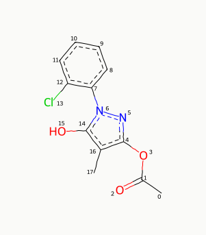 CC(=O)Oc1nn(-c2ccccc2Cl)c(O)c1C